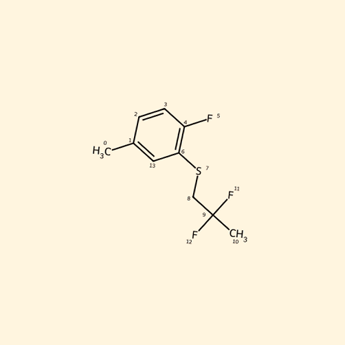 Cc1ccc(F)c(SCC(C)(F)F)c1